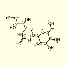 CCCCC[C@@H](O)[C@@H](O)[C@H](COC1OC(CO)C(O)C(O)C1O)NC(=O)CC